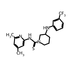 Cc1cc(C)nc(NC(=S)N2CCCC(Nc3cccc(C(F)(F)F)c3)C2)c1